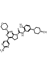 Cc1ccc(N2CCN(C)CC2)cc1NC(=S)N1CCc2c(-c3cnc(N)nc3)nc(N3CCOCC3)nc21